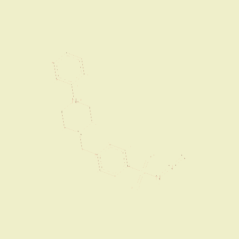 [N-]=[N+]=NS(=O)(=O)c1ccc(CN2CCN(c3ccccc3)CC2)cc1